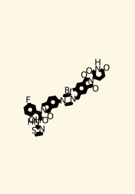 O=C1CCC(N2C(=O)c3cc(Br)c(CN4CCN(c5ccc6c(c5)C(=O)N(C(C(=O)Nc5nccs5)c5cc(F)ccc5O)C6)CC4)cc3C2=O)C(=O)N1